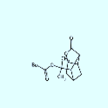 CCC(C)C(=O)OC(C)(C)C1C2CC3OC(=O)C1C3C2